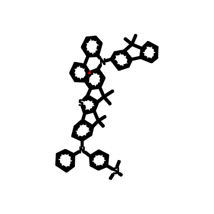 CC1(C)c2ccccc2-c2ccc(N(c3ccc4c(c3)C(C)(C)c3c-4sc4c3C(C)(C)c3cc(N(c5ccccc5)c5ccc([Si](C)(C)C)cc5)ccc3-4)c3ccccc3-c3ccccc3)cc21